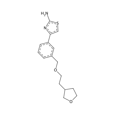 Nc1nc(-c2cccc(COCCC3CCOC3)c2)cs1